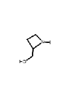 OCC1CCN1I